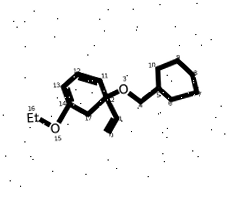 C=CC1(OCC2CCCCC2)C=CC=C(OCC)C1